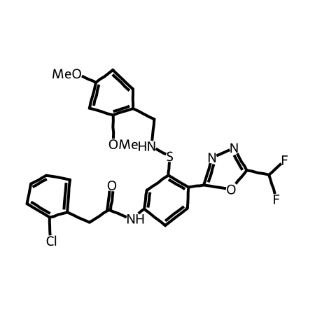 COc1ccc(CNSc2cc(NC(=O)Cc3ccccc3Cl)ccc2-c2nnc(C(F)F)o2)c(OC)c1